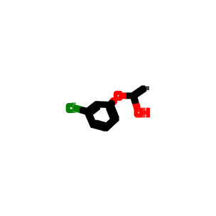 [CH2]C(O)Oc1cccc(Cl)c1